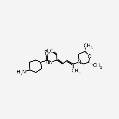 C=C/C(=C\C=C(/C)N1C[C@@H](C)O[C@H](C)C1)NC(=O)C1CCC(N)CC1